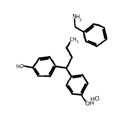 CCCC(c1ccc(O)cc1)c1ccc(O)cc1.Cl.NCc1ccccc1